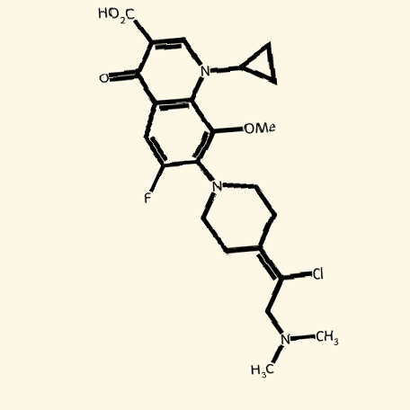 COc1c(N2CCC(=C(Cl)CN(C)C)CC2)c(F)cc2c(=O)c(C(=O)O)cn(C3CC3)c12